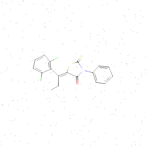 CC/C(=C1/SC(=S)N(c2ccccc2)C1=O)c1c(Cl)cccc1Cl